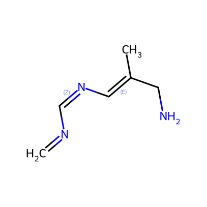 C=N/C=N\C=C(/C)CN